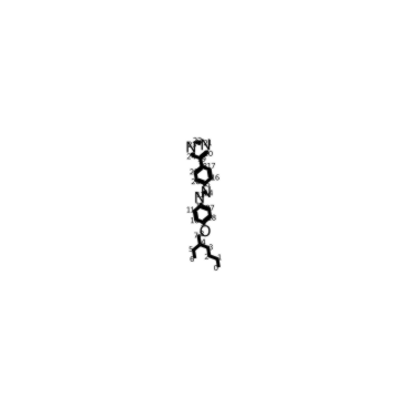 CCCCC(CC)COc1ccc(/N=N/c2ccc(-c3cncnc3)cc2)cc1